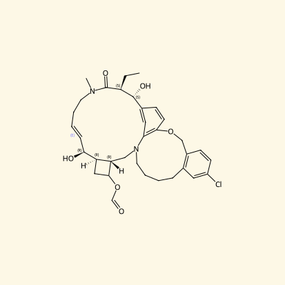 CC[C@@H]1C(=O)N(C)CC/C=C/[C@H](O)[C@@H]2CC(OC=O)[C@H]2CN2CCCCc3cc(Cl)ccc3COc3ccc(cc32)[C@H]1O